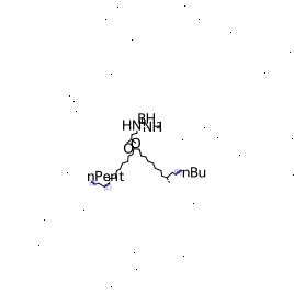 BC(=N)NCCC1COC(CCCCCCCC/C=C\C/C=C\CCCCC)(CCCCCCCCC(C)C/C=C/CCCC)O1